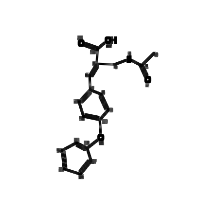 CC(=O)SCC(=Cc1ccc(Oc2ccccc2)cc1)C(=O)O